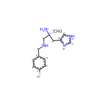 N[C@](C=O)(CNCc1ccc(F)cc1)Cc1c[nH]cn1